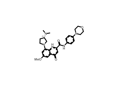 COc1cc(N2CC[C@H](N(C)C)C2)c2[nH]c(C(=O)Nc3ccc(N4CCOCC4)cc3)cc(=O)c2c1